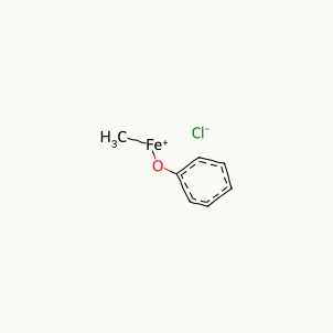 [CH3][Fe+][O]c1ccccc1.[Cl-]